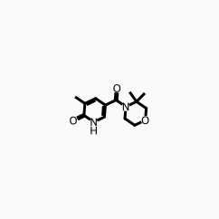 Cc1cc(C(=O)N2CCOCC2(C)C)c[nH]c1=O